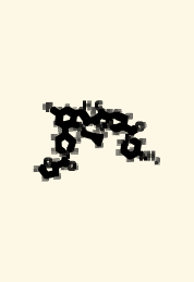 Cc1c(-c2cc3cc(F)cc(C4CCN(C(=O)C5CCCO5)CC4)c3n2CC2CC2)nn2cc(C(=O)N3CCC[C@@H](N)C3)ccc12